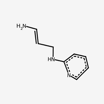 NC=CCNc1ccccn1